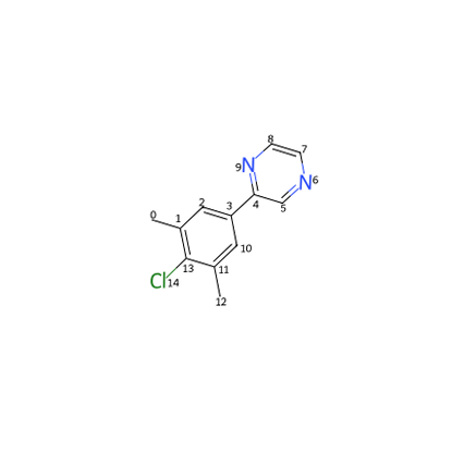 Cc1cc(-c2cnccn2)cc(C)c1Cl